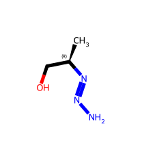 C[C@H](CO)N=NN